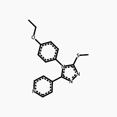 CCOc1ccc(-n2c(SC)nnc2-c2ccncc2)cc1